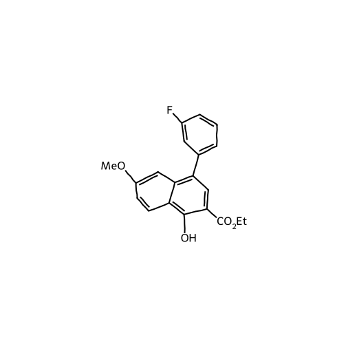 CCOC(=O)c1cc(-c2cccc(F)c2)c2cc(OC)ccc2c1O